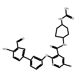 O=Cc1cc(-c2cccc(Oc3ncc(F)cc3C(=O)NC3CCC(NC(=O)O)CC3)c2)ccc1O